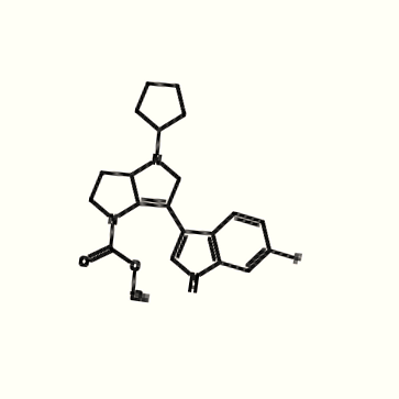 CC(C)(C)OC(=O)N1CCC2C1=C(c1c[nH]c3cc(F)ccc13)CN2C1CCCC1